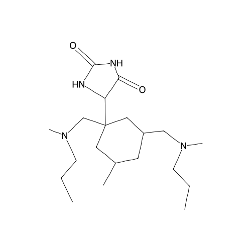 CCCN(C)CC1CC(C)CC(CN(C)CCC)(C2NC(=O)NC2=O)C1